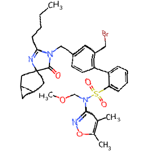 CCCCC1=NC2(CC3CC3C2)C(=O)N1Cc1ccc(-c2ccccc2S(=O)(=O)N(COC)c2noc(C)c2C)c(CBr)c1